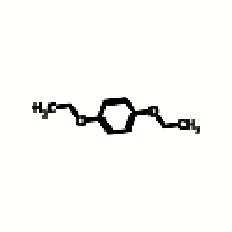 [CH2]COc1ccc(OCC)cc1